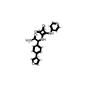 NC(=O)C(Nc1c(Nc2ccncc2)c(=O)c1=O)c1ccc(-c2ccoc2)cc1